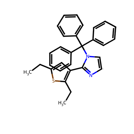 CCc1cc(-c2n[c]cn2C(c2ccccc2)(c2ccccc2)c2ccccc2)c(CC)s1